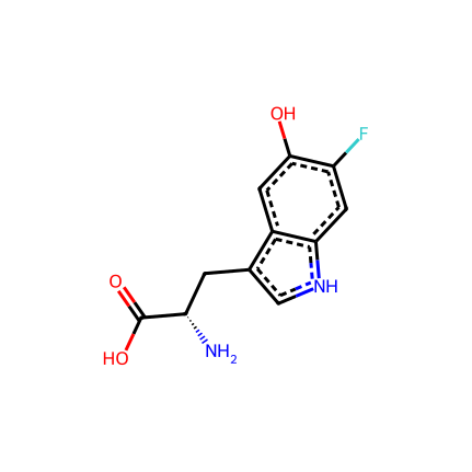 N[C@@H](Cc1c[nH]c2cc(F)c(O)cc12)C(=O)O